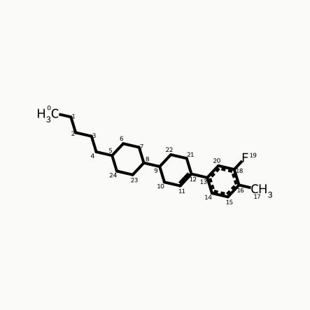 CCCCCC1CCC(C2CC=C(c3ccc(C)c(F)c3)CC2)CC1